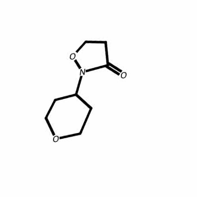 O=C1CCON1C1CCOCC1